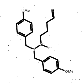 C=CCCC[S+]([O-])N(Cc1ccc(OC)cc1)Cc1ccc(OC)cc1